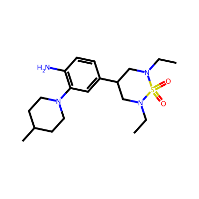 CCN1CC(c2ccc(N)c(N3CCC(C)CC3)c2)CN(CC)S1(=O)=O